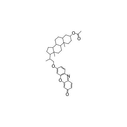 CC(=O)OC1CCC2(C)C(CCC3C2CCC2(C)C(C(C)COc4ccc5nc6ccc(=O)cc-6oc5c4)CCC32)C1